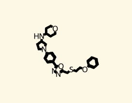 c1ccc(OCCSCc2nnc(-c3ccc(N4CCC(NC5CCOCC5)C4)cc3)o2)cc1